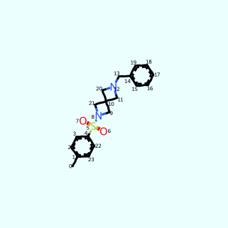 Cc1ccc(S(=O)(=O)N2CC3(CN(Cc4ccccc4)C3)C2)cc1